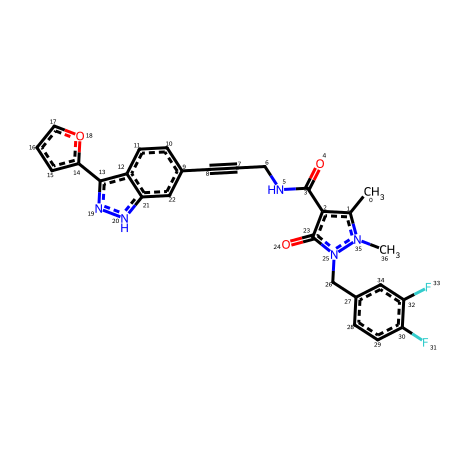 Cc1c(C(=O)NCC#Cc2ccc3c(-c4ccco4)n[nH]c3c2)c(=O)n(Cc2ccc(F)c(F)c2)n1C